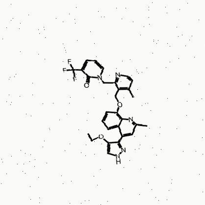 CCOc1c[nH]nc1-c1cc(C)nc2c(OCc3c(C)ccnc3Cn3cccc(C(F)(F)F)c3=O)cccc12